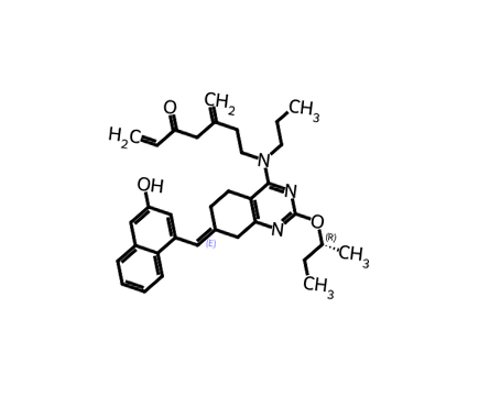 C=CC(=O)CC(=C)CCN(CCC)c1nc(O[C@H](C)CC)nc2c1CC/C(=C\c1cc(O)cc3ccccc13)C2